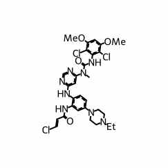 CCN1CCN(c2ccc(Nc3cc(N(C)C(=O)Nc4c(Cl)c(OC)cc(OC)c4Cl)ncn3)c(NC(=O)C=CCl)c2)CC1